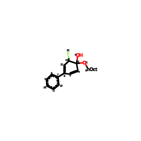 CCCCCCCCOC1(O)C=CC(c2ccccc2)=CC1F